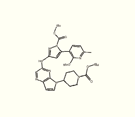 COc1nc(C)ccc1-c1cc(Nc2cnc3ccn(C4CCN(C(=O)OC(C)(C)C)CC4)c3n2)nn1C(=O)OC(C)(C)C